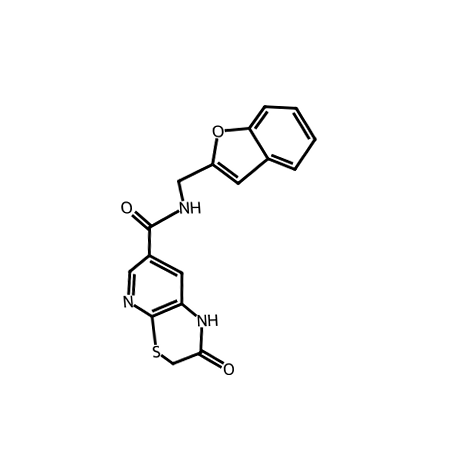 O=C1CSc2ncc(C(=O)NCc3cc4ccccc4o3)cc2N1